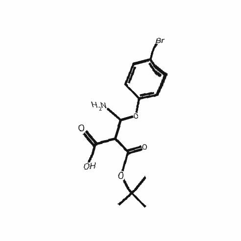 CC(C)(C)OC(=O)C(C(=O)O)C(N)Oc1ccc(Br)cc1